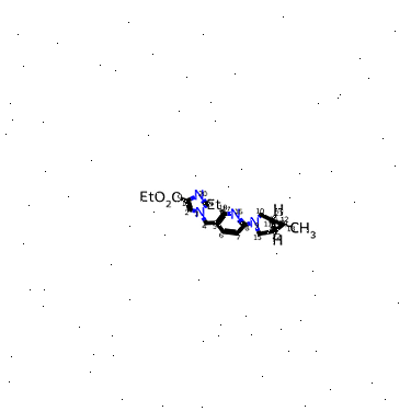 CCOC(=O)c1cn(Cc2ccc(N3C[C@@H]4[C@H](C)[C@@H]4C3)nc2CC)cn1